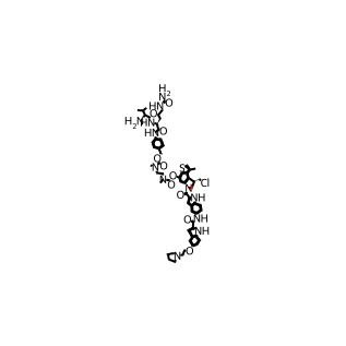 Cc1csc2c(OC(=O)N(C)CCN(C)C(=O)OCc3ccc(NC(=O)[C@H](CCCNC(N)=O)NC(=O)C(N)C(C)C)cc3)cc3c(c12)[C@H](CCl)CN3C(=O)c1cc2cc(NC(=O)c3cc4cc(OCCN5CCCC5)ccc4[nH]3)ccc2[nH]1